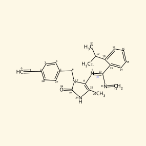 C#Cc1ccc(Cn2c(/N=C(\N=C)c3ccccc3C(C)C)c(C)[nH]c2=O)cc1